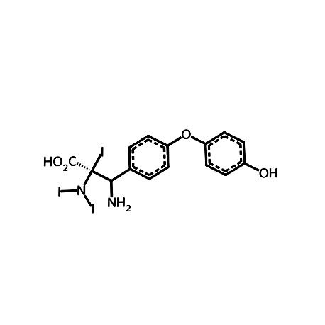 NC(c1ccc(Oc2ccc(O)cc2)cc1)[C@@](I)(C(=O)O)N(I)I